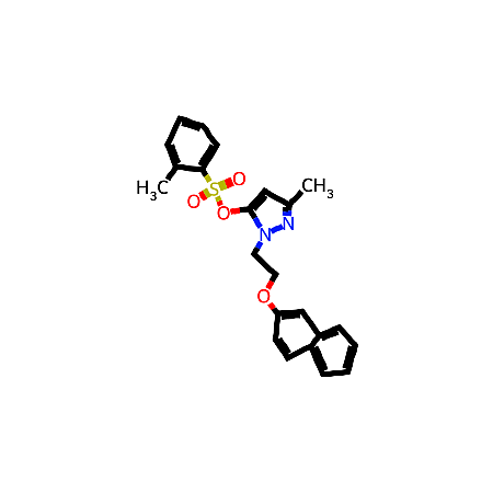 Cc1cc(OS(=O)(=O)c2ccccc2C)n(CCOc2ccc3ccccc3c2)n1